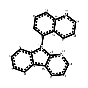 c1cc(-n2c3ccccc3c3cccnc32)c2cccnc2c1